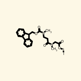 CN(CC(=O)OSI)C(=O)CCN(C)C(=O)OCC1c2ccccc2-c2ccccc21